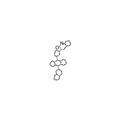 C1=c2ccccc2=NC2Oc3ccc(-c4c5ccccc5c(-c5ccc6ccccc6c5)c5ccccc45)cc3C12